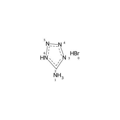 Br.N.c1nnn[nH]1